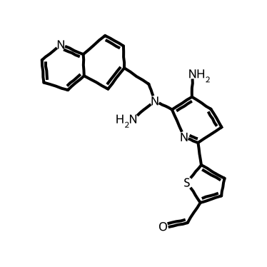 Nc1ccc(-c2ccc(C=O)s2)nc1N(N)Cc1ccc2ncccc2c1